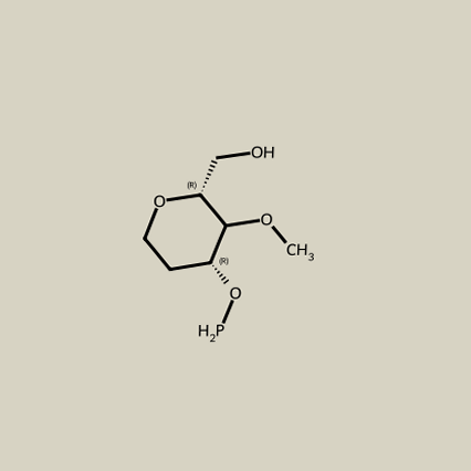 COC1[C@H](OP)CCO[C@@H]1CO